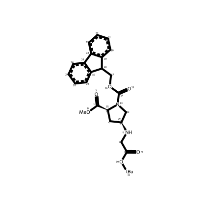 COC(=O)[C@@H]1C[C@H](NCC(=O)OC(C)(C)C)CN1C(=O)OCC1c2ccccc2-c2ccccc21